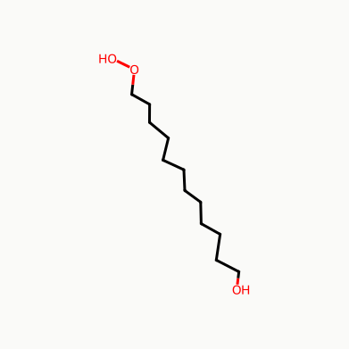 OCCCCCCCCCCCCOO